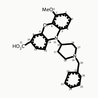 COc1cccc2c1Oc1cc(C(=O)O)ccc1N2C1CCN(Cc2ccccc2)CC1